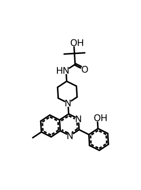 Cc1ccc2c(N3CCC(NC(=O)C(C)(C)O)CC3)nc(-c3ccccc3O)nc2c1